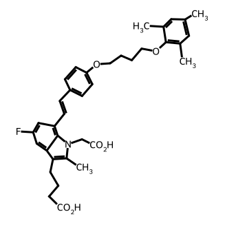 Cc1cc(C)c(OCCCCOc2ccc(/C=C/c3cc(F)cc4c(CCCC(=O)O)c(C)n(CC(=O)O)c34)cc2)c(C)c1